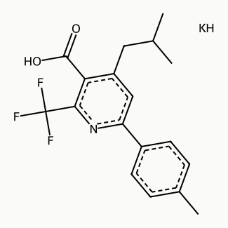 Cc1ccc(-c2cc(CC(C)C)c(C(=O)O)c(C(F)(F)F)n2)cc1.[KH]